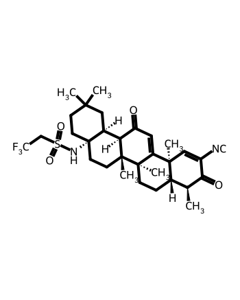 [C-]#[N+]C1=C[C@]2(C)C3=CC(=O)[C@@H]4[C@@H]5CC(C)(C)CC[C@]5(NS(=O)(=O)CC(F)(F)F)CC[C@@]4(C)[C@]3(C)CC[C@H]2[C@H](C)C1=O